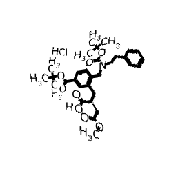 COC(=O)C[C@H](Cc1cc(C(=O)OC(C)(C)C)ccc1CN(CCc1ccccc1)C(=O)OC(C)(C)C)C(=O)O.Cl